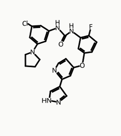 O=C(Nc1cc(Cl)cc(N2CCCC2)c1)Nc1cc(Oc2ccnc(-c3cn[nH]c3)c2)ccc1F